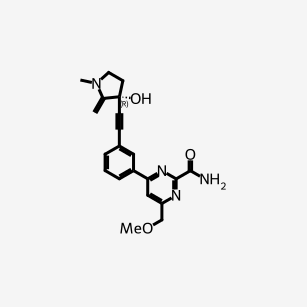 C=C1N(C)CC[C@@]1(O)C#Cc1cccc(-c2cc(COC)nc(C(N)=O)n2)c1